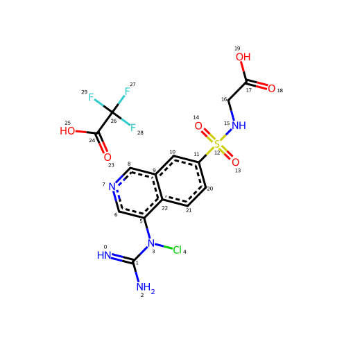 N=C(N)N(Cl)c1cncc2cc(S(=O)(=O)NCC(=O)O)ccc12.O=C(O)C(F)(F)F